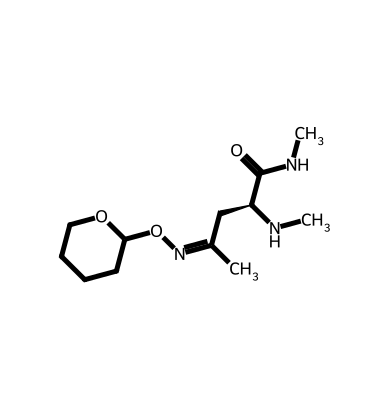 CNC(=O)[C@H](CC(C)=NOC1CCCCO1)NC